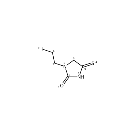 O=C1NC(=S)CN1CCI